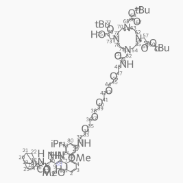 COc1cccc(OC)c1/C(=C/C(=N)C(=O)NC1(C(=O)O)C2CC3CC(C2)CC1C3)Nc1ccc(NCCOCCOCCOCCOCCOCCNC(=O)CN2CCN(CC(=O)OC(C)(C)C)CCN(CC(=O)OC(C)(C)C)CCN(CC(O)OC(C)(C)C)CC2)cc1C(C)C